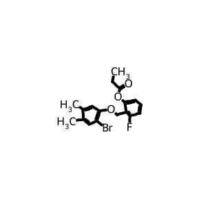 CCC(=O)Oc1cccc(F)c1COc1cc(C)c(C)cc1Br